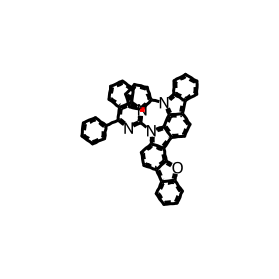 c1ccc(-c2nc(-n3c4ccc5c6ccccc6oc5c4c4ccc5c6ccccc6n(-c6ccccc6)c5c43)nc3ccccc23)cc1